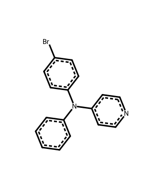 Brc1ccc(N(c2ccccc2)c2ccncc2)cc1